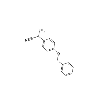 CC(C#N)c1ccc(OCc2ccccc2)cc1